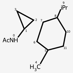 CC(=O)NC1CC1.CC1CCC(C(C)C)CC1